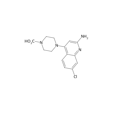 Nc1cc(N2CCN(C(=O)O)CC2)c2ccc(Cl)cc2n1